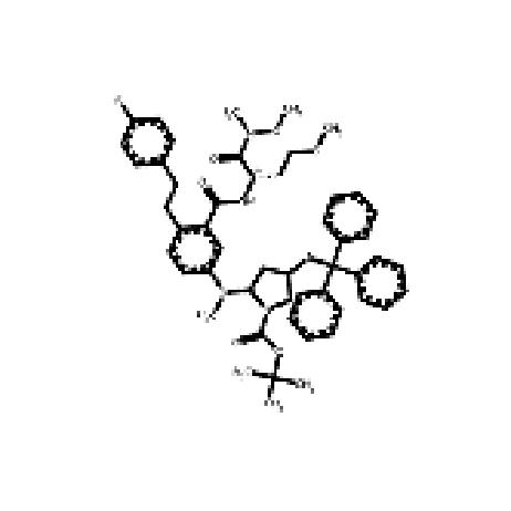 CON(C)C(=O)[C@H](CCSC)NC(=O)c1cc(N(C)C2CC(SC(c3ccccc3)(c3ccccc3)c3ccccc3)CN2C(=O)OC(C)(C)C)ccc1CCc1ccc(F)cc1